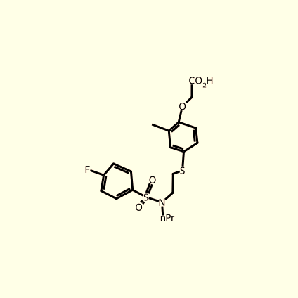 CCCN(CCSc1ccc(OCC(=O)O)c(C)c1)S(=O)(=O)c1ccc(F)cc1